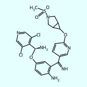 CS(=O)(=O)N1CC2C(C1)C2Oc1ccc(C(=N)c2cc(O[C@H](N)c3c(Cl)cncc3Cl)ccc2N)cn1